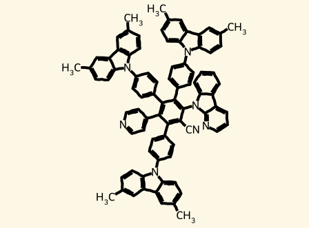 Cc1ccc2c(c1)c1cc(C)ccc1n2-c1ccc(-c2c(C#N)c(-n3c4ccccc4c4cccnc43)c(-c3ccc(-n4c5ccc(C)cc5c5cc(C)ccc54)cc3)c(-c3ccc(-n4c5ccc(C)cc5c5cc(C)ccc54)cc3)c2-c2ccncc2)cc1